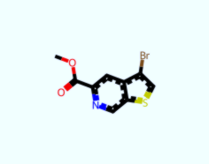 COC(=O)c1cc2c(Br)csc2cn1